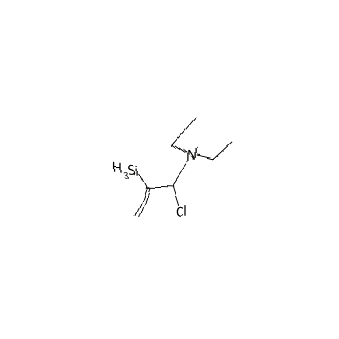 C=C([SiH3])C(Cl)N(CC)CC